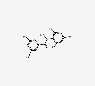 CCCc1cc(CCC)c(C(OC(C)=O)C(=O)c2cc(C(C)C)[c]c(C(C)C)c2)c(CCC)c1